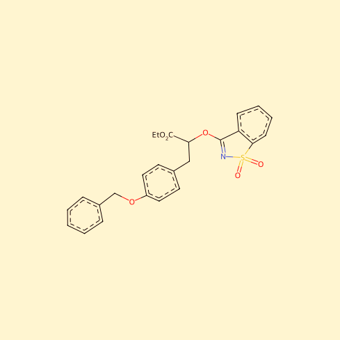 CCOC(=O)C(Cc1ccc(OCc2ccccc2)cc1)OC1=NS(=O)(=O)c2ccccc21